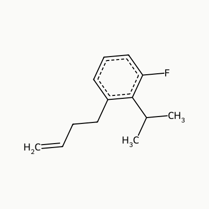 C=CCCc1cccc(F)c1C(C)C